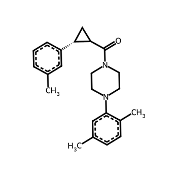 Cc1cccc([C@@H]2CC2C(=O)N2CCN(c3cc(C)ccc3C)CC2)c1